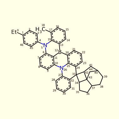 CCc1ccc(N2c3cccc4c3B(c3cccc(C)c32)c2cccc3c2N4c2ccccc2C32C3CCC4CCC5CC2C43C5)cc1